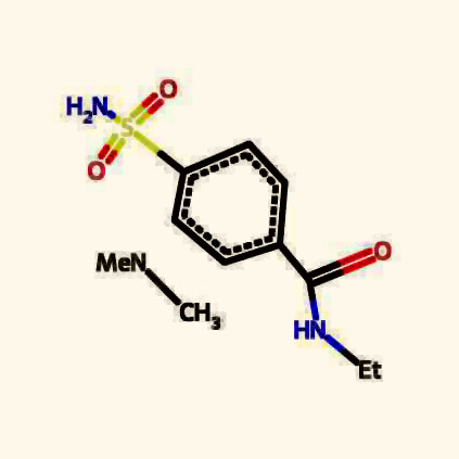 CCNC(=O)c1ccc(S(N)(=O)=O)cc1.CNC